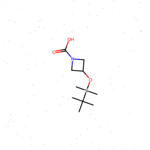 CC(C)(C)[Si](C)(C)OC1CN(C(=O)O)C1